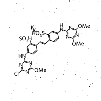 COc1nc(Cl)nc(Nc2ccc(C=Cc3ccc(Nc4nc(OC)nc(OC)n4)cc3S(=O)(=O)O)c(S(=O)(=O)O)c2)n1.[K].[K]